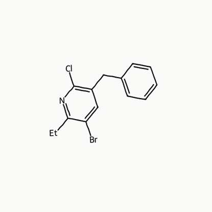 CCc1nc(Cl)c(Cc2ccccc2)cc1Br